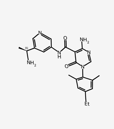 CCc1cc(C)c(-n2cnc(N)c(C(=O)Nc3cncc([C@H](C)N)c3)c2=O)c(C)c1